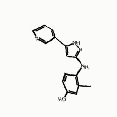 Cc1cc(O)ccc1Nc1cc(-c2cccnc2)[nH]n1